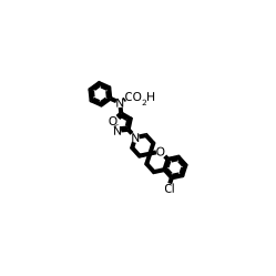 O=C(O)N(c1ccccc1)c1cc(N2CCC3(CCc4c(Cl)cccc4O3)CC2)no1